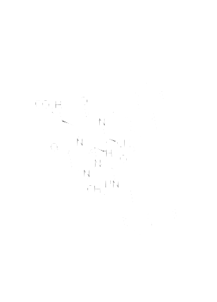 C[C@H]1[C@H]2N(C(=O)CN(C)N2C(=O)NCc2cccc3ccccc23)[C@@H](CC(=O)O)C(=O)N1Cc1cccc2ccccc12